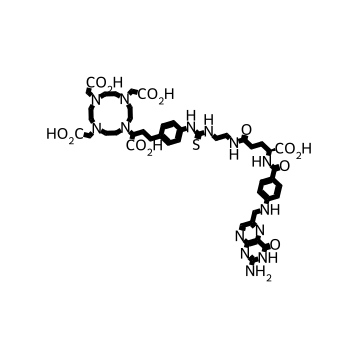 Nc1nc2ncc(CNc3ccc(C(=O)N[C@@H](CCC(=O)NCCNC(=S)Nc4ccc(CCC(C(=O)O)N5CCN(CC(=O)O)CCN(CC(=O)O)CCN(CC(=O)O)CC5)cc4)C(=O)O)cc3)nc2c(=O)[nH]1